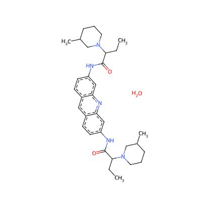 CCC(C(=O)Nc1ccc2cc3ccc(NC(=O)C(CC)N4CCCC(C)C4)cc3nc2c1)N1CCCC(C)C1.O